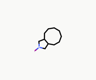 IN1CC2CCCCCCCC2C1